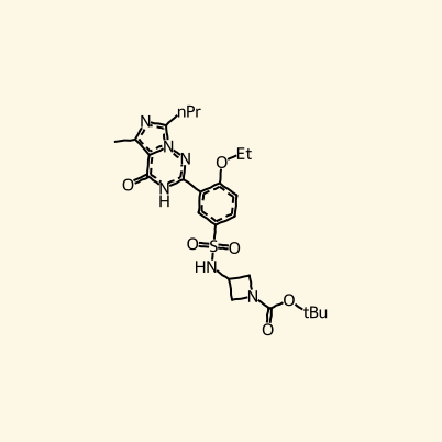 CCCc1nc(C)c2c(=O)[nH]c(-c3cc(S(=O)(=O)NC4CN(C(=O)OC(C)(C)C)C4)ccc3OCC)nn12